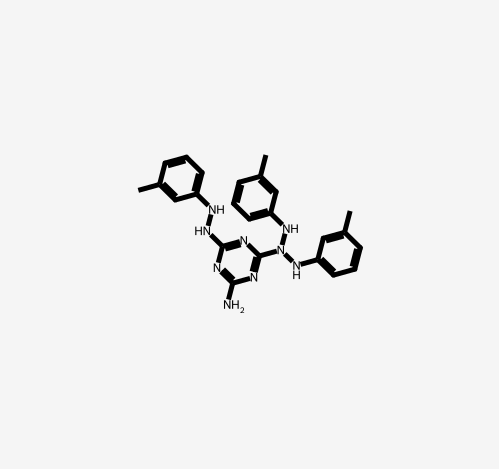 Cc1cccc(NNc2nc(N)nc(N(Nc3cccc(C)c3)Nc3cccc(C)c3)n2)c1